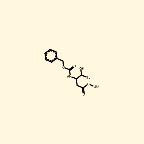 CCC(O)C(CC(=O)OC(C)(C)C)NC(=O)OCc1ccccc1